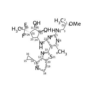 CO[C@@H](C)CNc1nc(C)c(-c2nc3c(C4CC4)nccc3s2)c(NC2C[C@H](C(C)(F)F)[C@@H](O)[C@H]2O)n1